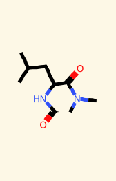 CC(C)CC(N[C]=O)C(=O)N(C)C